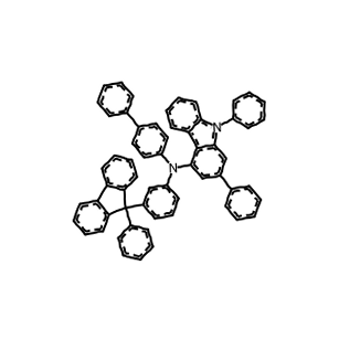 c1ccc(-c2ccc(N(c3cccc(C4(c5ccccc5)c5ccccc5-c5ccccc54)c3)c3cc(-c4ccccc4)cc4c3c3ccccc3n4-c3ccccc3)cc2)cc1